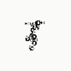 CCC1CC2CC(C1)C(NC(=O)c1ccc(-c3cn(-c4ncccc4C#N)c4cc(OC5CCN(c6ncccn6)CC5)ccc34)nc1C(F)(F)F)(C(=O)O)C2